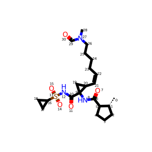 C[C@@H]1CCCC1C(=O)NC1(C(=O)NS(=O)(=O)C2CC2)CC1/C=C\CCCCN(C)C=O